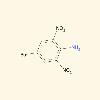 CCC(C)c1cc([N+](=O)[O-])c(N)c([N+](=O)[O-])c1